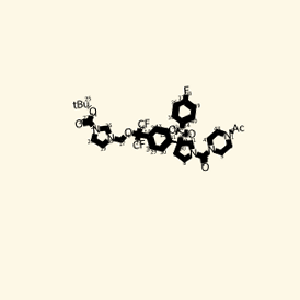 CC(=O)N1CCN(C(=O)N2CC[C@](c3ccc(C(OCN4CCN(C(=O)OC(C)(C)C)C4)(C(F)(F)F)C(F)(F)F)cc3)(S(=O)(=O)c3ccc(F)cc3)C2)CC1